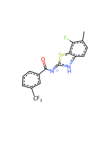 Cc1ccc2[nH]/c(=N/C(=O)c3cccc(C(F)(F)F)c3)sc2c1F